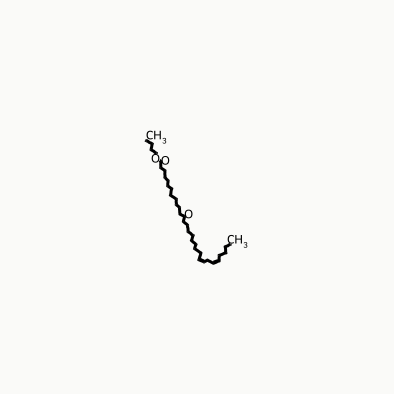 CCCCC/C=C\C/C=C\CCCCCCCCC(=O)CCCCCCCCCCCC(=O)OCCCCC